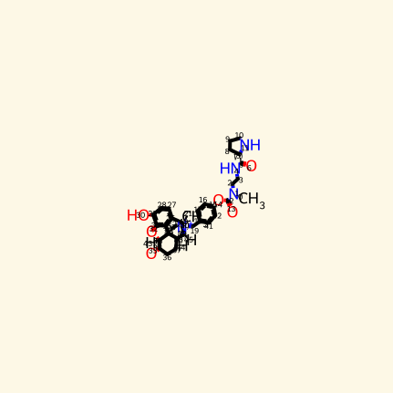 CN(CCNC(=O)[C@@H]1CCCN1)C(=O)Oc1ccc(C[N@@+]2(C)CC[C@]34c5c6ccc(O)c5O[C@H]3C(=O)CC[C@H]4[C@H]2C6)cc1